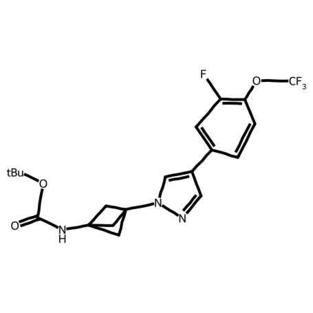 CC(C)(C)OC(=O)NC12CC(n3cc(-c4ccc(OC(F)(F)F)c(F)c4)cn3)(C1)C2